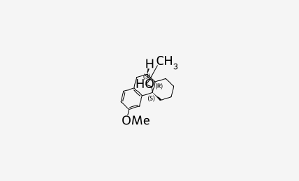 COc1ccc2c(c1)[C@@]13CCCC[C@@]1(O)[C@@H](C2)C(C)CC3